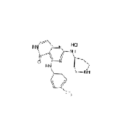 Cl.O=c1[nH]ccc2nc(NC3CCNCC3)nc(Nc3ccc(C(F)(F)F)cc3)c12